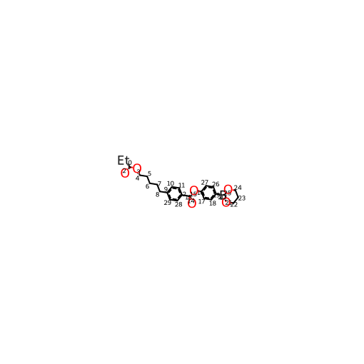 CCC(=O)OCCCCCc1ccc(C(=O)Oc2ccc(B3OCCCO3)cc2)cc1